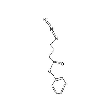 [N-]=[N+]=NCCCC(=O)Oc1ccccc1